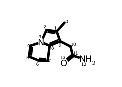 Cc1cn2ccccc2c1CC(N)=O